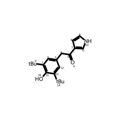 CC(C)(C)c1cc(CC(=O)c2cc[nH]c2)cc(C(C)(C)C)c1O